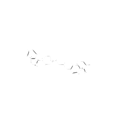 Cc1coc2cc(OCCCN3CCC(c4noc5cc(F)ccc45)CC3)ccc2c1=O